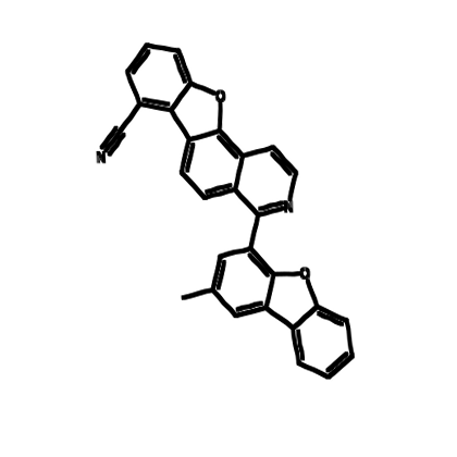 Cc1cc(-c2nccc3c2ccc2c3oc3cccc(C#N)c32)c2oc3ccccc3c2c1